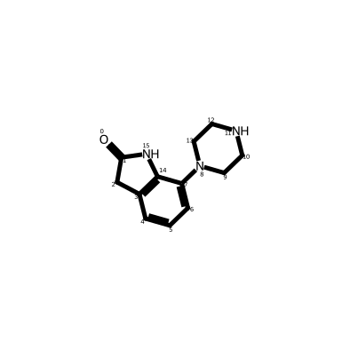 O=C1Cc2cccc(N3CCNCC3)c2N1